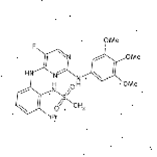 COc1cc(Nc2ncc(F)c(Nc3cccc(C(C)C)c3NS(C)(=O)=O)n2)cc(OC)c1OC